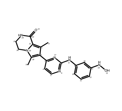 Cc1c(-c2ccnc(Nc3cccc(NO)c3)n2)c(C)n2c1C(=O)NCC2